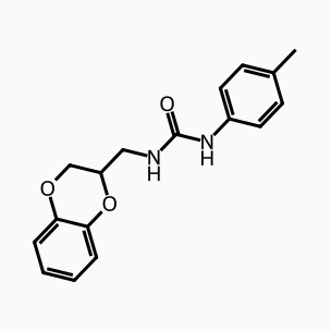 Cc1ccc(NC(=O)NCC2COc3ccccc3O2)cc1